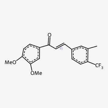 COc1ccc(C(=O)/C=C/c2ccc(C(F)(F)F)c(C)c2)cc1OC